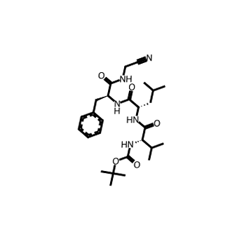 CC(C)C[C@H](NC(=O)[C@@H](NC(=O)OC(C)(C)C)C(C)C)C(=O)N[C@@H](Cc1ccccc1)C(=O)NCC#N